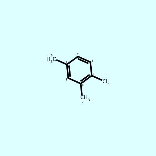 Cc1[c]cc(Cl)c(C)[c]1